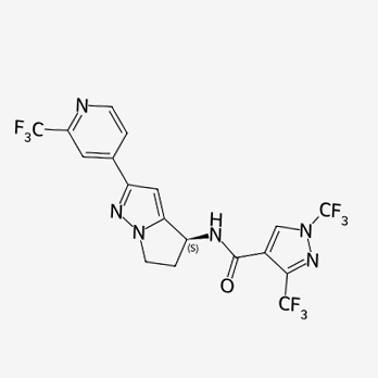 O=C(N[C@H]1CCn2nc(-c3ccnc(C(F)(F)F)c3)cc21)c1cn(C(F)(F)F)nc1C(F)(F)F